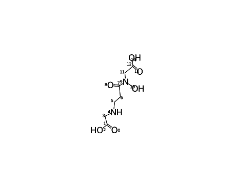 O=C(O)CNCCC(=O)N(O)CC(=O)O